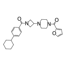 O=C(c1ccc(C2CCCCC2)cc1)N1CC(N2CCN(C(=O)c3ccco3)CC2)C1